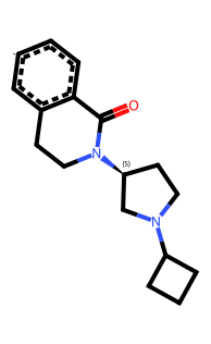 O=C1c2cc[c]cc2CCN1[C@H]1CCN(C2CCC2)C1